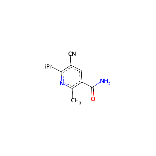 Cc1nc(C(C)C)c(C#N)cc1C(N)=O